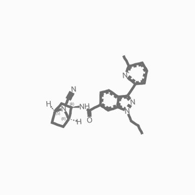 CCCn1nc(-c2cccc(C)n2)c2ccc(C(=O)N[C@@H]3C[C@@H]4CC[C@H]3N4C#N)cc21